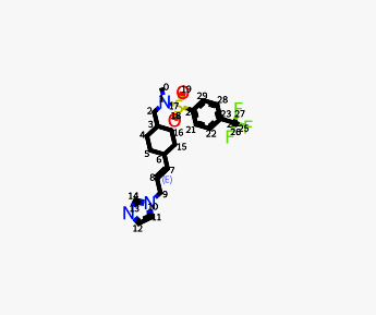 CN(CC1CCC(/C=C/Cn2ccnc2)CC1)S(=O)(=O)c1ccc(C(F)(F)F)cc1